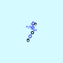 Nc1nc(Nc2ccc(N3CCN(C4CC5CCC4C5)CC3)cc2)nn1-c1ncnc2ccsc12